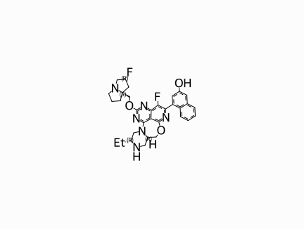 CC[C@@H]1CN2c3nc(OC[C@@]45CCCN4C[C@H](F)C5)nc4c(F)c(-c5cc(O)cc6ccccc56)nc(c34)OC[C@H]2CN1